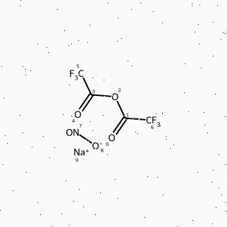 O=C(OC(=O)C(F)(F)F)C(F)(F)F.O=N[O-].[Na+]